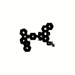 Cc1cc2c3c(nc(-c4ccc(N5c6c(ccc7c6sc6ccccc67)C6C=CC=CC65)cc4)nc3c1)C1=C(O2)c2ccccc2CC1